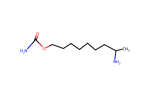 CC(N)CCCCCCCOC(N)=O